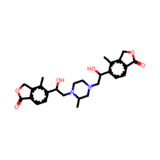 Cc1c(C(O)CN2CCN(CC(O)c3ccc4c(c3C)COC4=O)C(C)C2)ccc2c1COC2=O